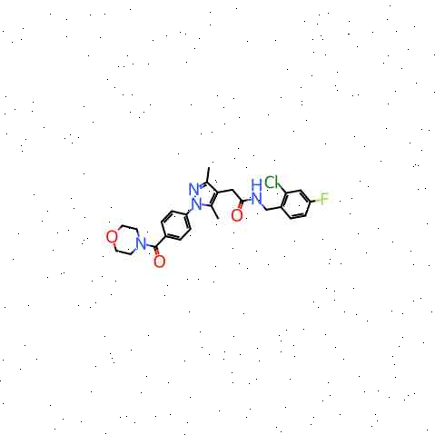 Cc1nn(-c2ccc(C(=O)N3CCOCC3)cc2)c(C)c1CC(=O)NCc1ccc(F)cc1Cl